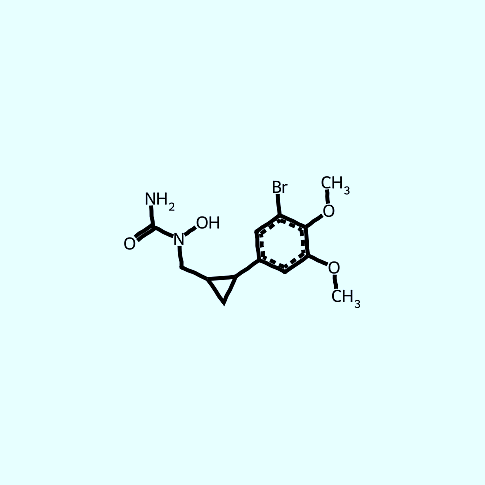 COc1cc(C2CC2CN(O)C(N)=O)cc(Br)c1OC